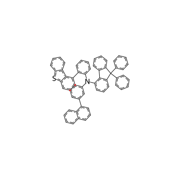 c1ccc(C2(c3ccccc3)c3ccccc3-c3c(N(c4cccc(-c5cccc6ccccc56)c4)c4ccccc4-c4cccc5sc6ccccc6c45)cccc32)cc1